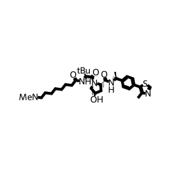 CNCCCCCCCC(=O)N[C@H](C(=O)N1C[C@H](O)C[C@H]1C(=O)N[C@@H](C)c1ccc(-c2scnc2C)cc1)C(C)(C)C